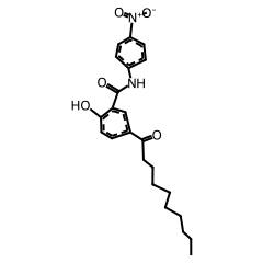 CCCCCCCCCC(=O)c1ccc(O)c(C(=O)Nc2ccc([N+](=O)[O-])cc2)c1